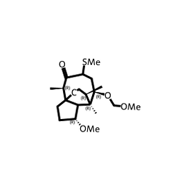 COCO[C@@H]1CC(SC)C(=O)[C@H](C)C23CC[C@@H](C)[C@]1(C)C2[C@H](OC)CC3